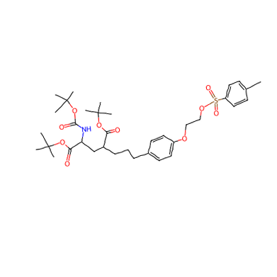 Cc1ccc(S(=O)(=O)OCCOc2ccc(CCCC(CC(NC(=O)OC(C)(C)C)C(=O)OC(C)(C)C)C(=O)OC(C)(C)C)cc2)cc1